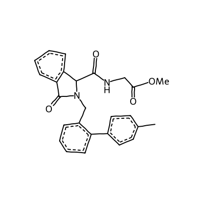 COC(=O)CNC(=O)C1c2ccccc2C(=O)N1Cc1ccccc1-c1ccc(C)cc1